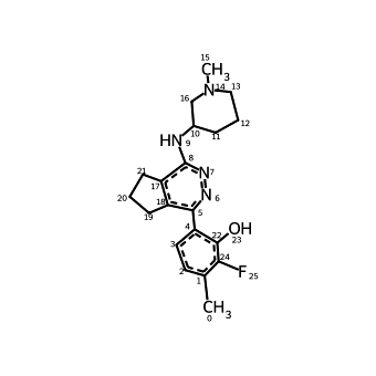 Cc1ccc(-c2nnc(NC3CCCN(C)C3)c3c2CCC3)c(O)c1F